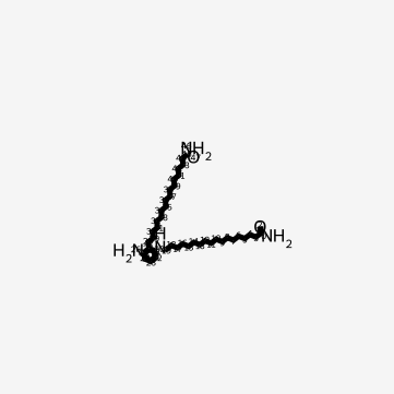 NC(=O)CCCCCCCCCCCCCCCCCNc1cccc(N)c1CCCCCCCCCCCCCCCCCC(N)=O